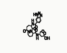 O=CC(CC(=O)O)NC(=O)C1CCCN2C(=O)CCC(NC(=O)c3ccc4nn[nH]c4c3)C(=O)N12